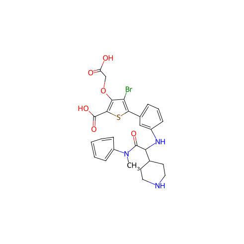 CN(C(=O)C(Nc1cccc(-c2sc(C(=O)O)c(OCC(=O)O)c2Br)c1)C1CCNCC1)c1ccccc1